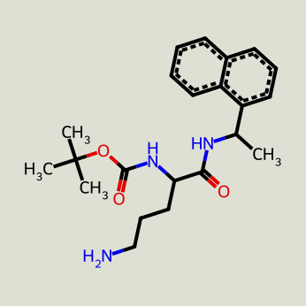 CC(NC(=O)C(CCCN)NC(=O)OC(C)(C)C)c1cccc2ccccc12